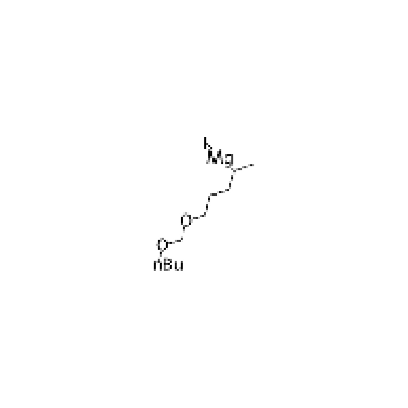 CCCCOCOCCC[CH](C)[Mg][I]